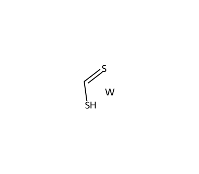 S=CS.[W]